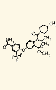 COC(=O)c1cc(Oc2ccc(C(N)=O)cc2C(F)(F)F)ccc1N(C(=O)[C@H]1CC[C@H](C)CC1)C(C)C